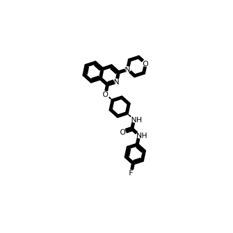 O=C(Nc1ccc(F)cc1)N[C@H]1CC[C@@H](Oc2nc(N3CCOCC3)cc3ccccc23)CC1